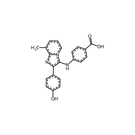 Cc1cccn2c(Nc3ccc(C(=O)O)cc3)c(-c3ccc(O)cc3)nc12